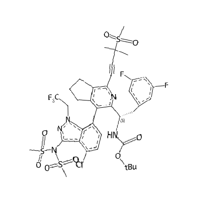 CC(C)(C)OC(=O)N[C@@H](Cc1cc(F)cc(F)c1)c1nc(C#CC(C)(C)S(C)(=O)=O)c2c(c1-c1ccc(Cl)c3c(N(S(C)(=O)=O)S(C)(=O)=O)nn(CC(F)(F)F)c13)CCC2